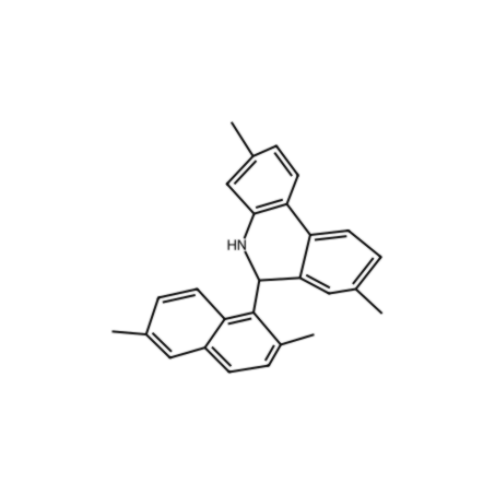 Cc1ccc2c(c1)NC(c1c(C)ccc3cc(C)ccc13)c1cc(C)ccc1-2